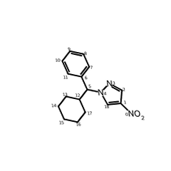 O=[N+]([O-])c1cnn(C(c2ccccc2)C2CCCCC2)c1